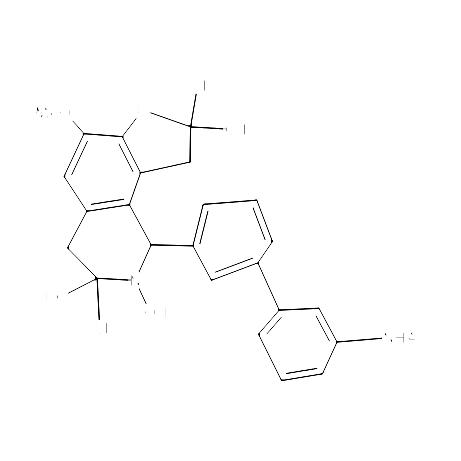 COc1cc2c(c3c1OC(C)(C)C3)C(c1cccc(-c3cccc(NC(C)=O)c3)c1)N(O)C(C)(C)C2